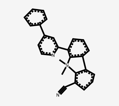 C[Si]1(C)c2c(C#N)cccc2-c2cccc(-c3cc(-c4ccccc4)ccn3)c21